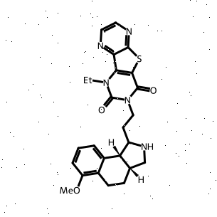 CCn1c(=O)n(CCC2NC[C@@H]3CCc4c(OC)cccc4[C@H]23)c(=O)c2sc3nccnc3c21